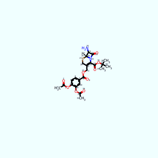 CC(=O)Oc1ccc(C(=O)OCC2=C(C(=O)OC(C)(C)C)N3C(=O)C(N)[C@H]3SC2)cc1OC(C)=O